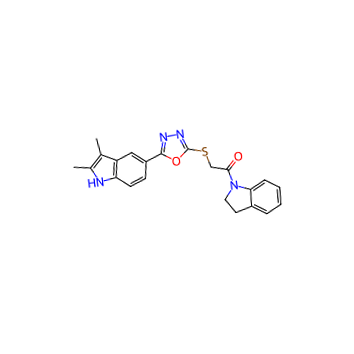 Cc1[nH]c2ccc(-c3nnc(SCC(=O)N4CCc5ccccc54)o3)cc2c1C